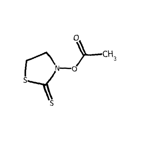 CC(=O)ON1CCSC1=S